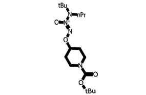 CCCN(/[N+]([O-])=N/OC1CCN(C(=O)OC(C)(C)C)CC1)C(C)(C)C